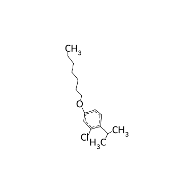 CCCCCCCOc1ccc(C(C)C)c(Cl)c1